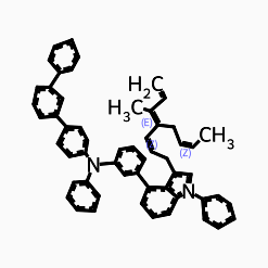 C=C/C(C)=C(/C=C\Cc1cn(-c2ccccc2)c2cccc(-c3cccc(N(c4ccccc4)c4ccc(-c5cccc(-c6ccccc6)c5)cc4)c3)c12)C/C=C\C